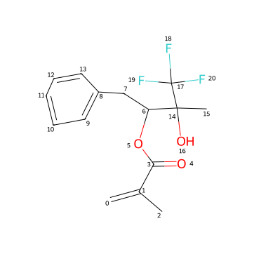 C=C(C)C(=O)OC(Cc1ccccc1)C(C)(O)C(F)(F)F